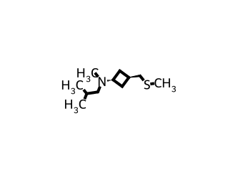 CSC[C@H]1C[C@H](N(C)CC(C)C)C1